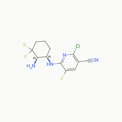 N#Cc1cc(F)c(N[C@@H]2CCCC(F)(F)[C@@H]2N)nc1Cl